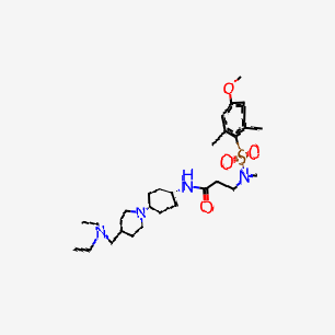 CCN(CC)CC1CCN([C@H]2CC[C@@H](NC(=O)CCN(C)S(=O)(=O)c3c(C)cc(OC)cc3C)CC2)CC1